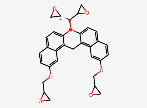 c1cc2ccc(OCC3CO3)c(Cc3c(OC[C@@H]4CO4)ccc4ccc(OCC5CO5)cc34)c2cc1OCC1CO1